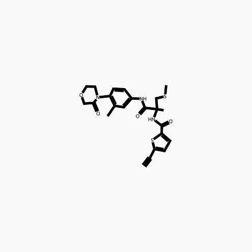 C#Cc1ccc(C(=O)NC(C)(CSC)C(=O)Nc2ccc(N3CCOCC3=O)c(C)c2)s1